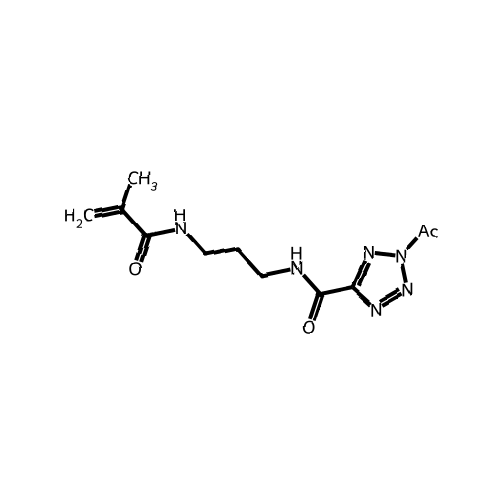 C=C(C)C(=O)NCCCNC(=O)c1nnn(C(C)=O)n1